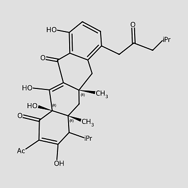 CC(=O)C1=C(O)C(C(C)C)[C@@]2(C)C[C@@]3(C)Cc4c(CC(=O)CC(C)C)ccc(O)c4C(=O)C3=C(O)[C@@]2(O)C1=O